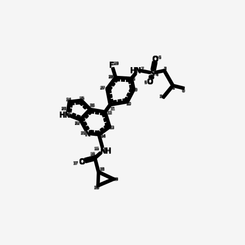 CC(C)CS(=O)(=O)Nc1ccc(-c2cc(NC(=O)C3CC3)nc3[nH]ccc23)cc1F